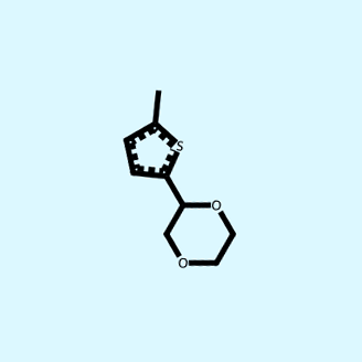 Cc1ccc(C2COCCO2)s1